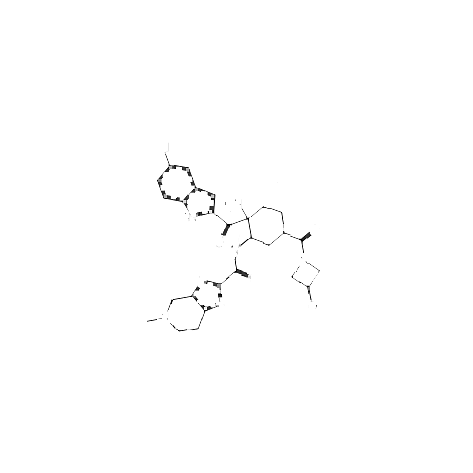 CN1CCc2nc(C(=O)NC3CC(C(=O)N4CC(O)C4)CCC3(N)C(=O)c3cc4cc(Cl)ccc4[nH]3)sc2C1.Cl